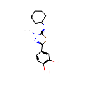 Cn1nc(-c2ccc(O)c(O)c2)s/c1=N/C1CCCCC1